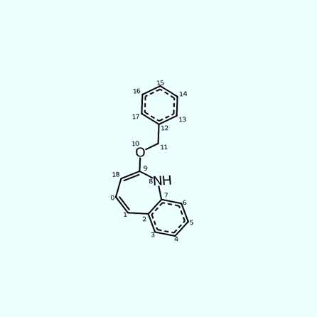 C1=Cc2ccccc2NC(OCc2ccccc2)=C1